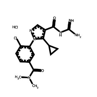 CN(C)C(=O)c1ccc(Cl)c(-n2ncc(C(=O)NC(=N)N)c2C2CC2)c1.Cl